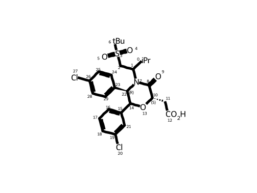 CC(C)C(CS(=O)(=O)C(C)(C)C)N1C(=O)[C@H](CC(=O)O)OC(c2cccc(Cl)c2)[C@H]1c1ccc(Cl)cc1